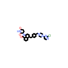 O=C1CCC(N2C(=O)c3cccc4c(Cc5ccc(CN6CCN(c7ccnc(Cl)n7)CC6)cc5)ccc2c34)C(=O)N1